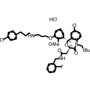 COc1c(OCCCNCCCc2ccc(Cl)cc2)cccc1[C@H]1O[C@H](CC(=O)NCc2ccccc2F)C(=O)N(CC(C)(C)C)c2ccc(Cl)cc21.Cl